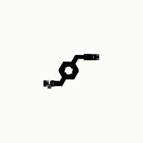 C#CCc1ccc(C=C)cc1